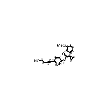 COc1cccc(C2(C(=O)Nc3ccc(C#CCCC#N)nn3)CC2)c1